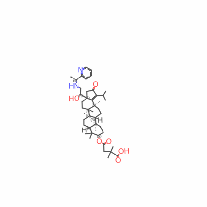 CC(C)C1=C2[C@@]([C@@H](O)CN[C@@H](C)c3ccccn3)(CC[C@]3(C)[C@]2(C)CC[C@@H]2[C@@]4(C)CC[C@H](OC(=O)CC(C)(C)C(=O)O)C(C)(C)[C@@H]4CC[C@]23C)CC1=O